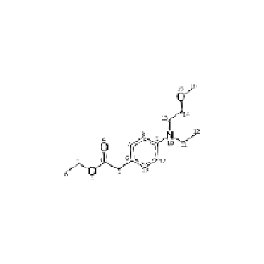 CCOC(=O)Cc1ccc(N(CC)CCOC)cc1